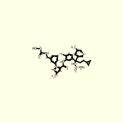 Cc1cncc(C(CCC2CC2)(N[S@+]([O-])C(C)(C)C)c2ccc(F)c(NC(=O)c3cc(C(F)(F)F)nn3-c3cccc(CNC(=O)OC(C)(C)C)c3)c2)c1